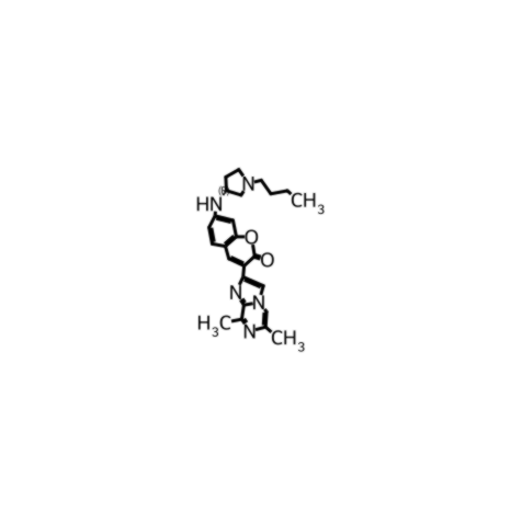 CCCCN1CC[C@@H](Nc2ccc3cc(-c4cn5cc(C)nc(C)c5n4)c(=O)oc3c2)C1